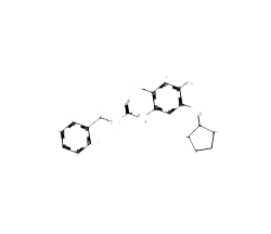 O=C(Nc1cc(OC2CCCC2)c(Cl)cc1F)OCc1ccccc1